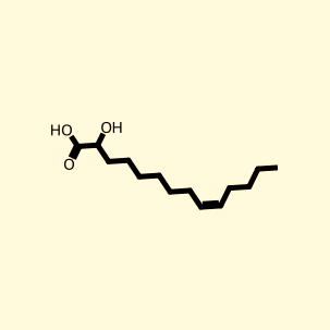 CCCC/C=C\CCCCCCC(O)C(=O)O